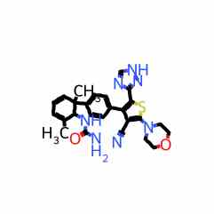 CC1=CC=CC(C)(c2ccc(-c3c(-c4nc[nH]n4)sc(N4CCOCC4)c3C#N)cc2)C1NC(N)=O